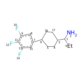 CCC(N)C1CCC(c2cc(F)c(F)c(F)c2)CC1